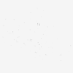 C1=C=CC(S(c2ccccc2)(c2ccccc2)c2cccc(-c3c4c5c6c(c7ccccc7n6c4c(-c4cccc(S(c6ccccc6)(c6ccccc6)c6ccccc6)c4)c4c6cccc7c8ccccc8n(c34)c76)=CCC5)c2)=CC=1